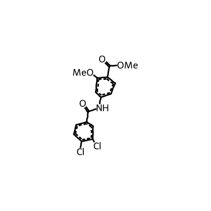 COC(=O)c1ccc(NC(=O)c2ccc(Cl)c(Cl)c2)cc1OC